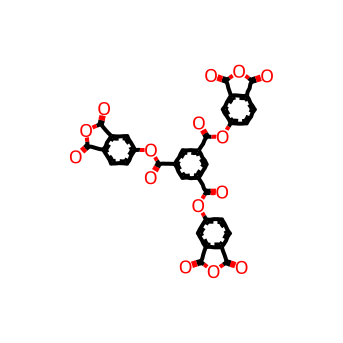 O=C(Oc1ccc2c(c1)C(=O)OC2=O)c1cc(C(=O)Oc2ccc3c(c2)C(=O)OC3=O)cc(C(=O)Oc2ccc3c(c2)C(=O)OC3=O)c1